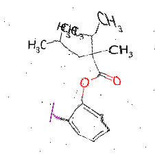 CC(C)CC(C)(C(=O)Oc1ccccc1I)C(C)C